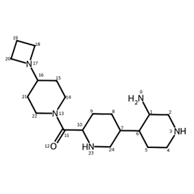 NC1CNCCC1C1CCC(C(=O)N2CCC(N3CCC3)CC2)NC1